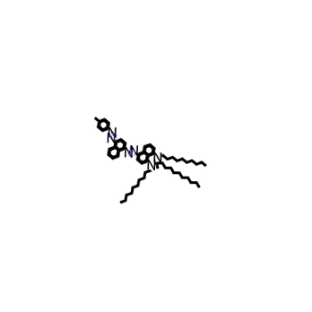 CCCCCCCCCCN1c2cccc3c(/N=N/c4ccc(/N=N/c5ccc(C)cc5)c5ccccc45)ccc(c23)N(CCCCCCCCCC)C1(C)CCCCCCCCCC